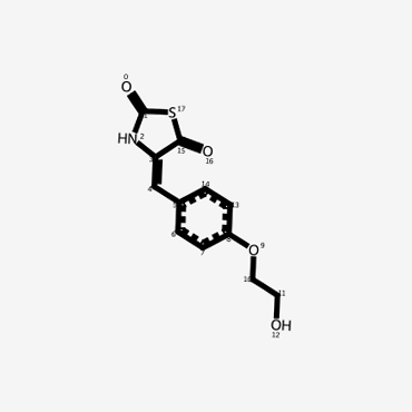 O=C1NC(=Cc2ccc(OCCO)cc2)C(=O)S1